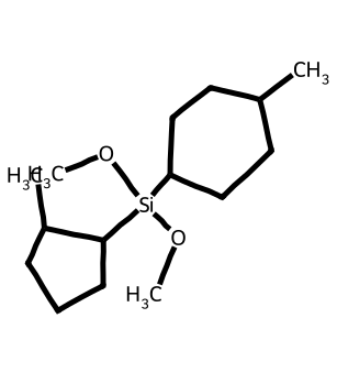 CO[Si](OC)(C1CCC(C)CC1)C1CCCC1C